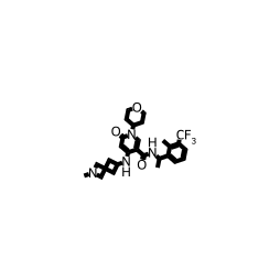 Cc1c(C(C)NC(=O)c2cn(C3CCOCC3)c(=O)cc2NC2CC3(C2)CN(C)C3)cccc1C(F)(F)F